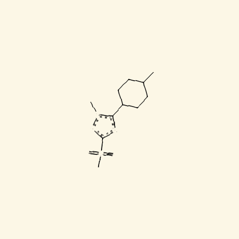 CC1CCC(c2nc(S(C)(=O)=O)nn2C)CC1